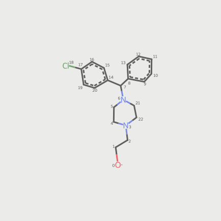 [O]CCN1CCN(C(c2ccccc2)c2ccc(Cl)cc2)CC1